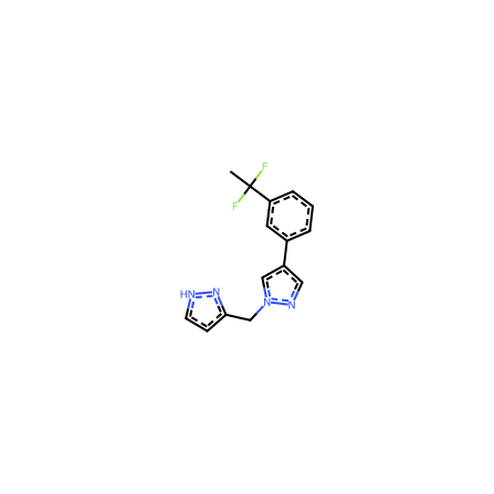 CC(F)(F)c1cccc(-c2cnn(Cc3cc[nH]n3)c2)c1